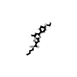 CCCCNC(=O)c1cc2nc(-c3ccc(OCC)cc3)cc(C)n2n1